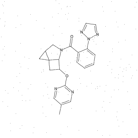 Cc1cnc(OC2CC34CC3CN(C(=O)c3ccccc3-n3nccn3)C24)nc1